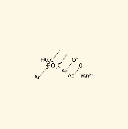 CC(=O)O.CC(=O)O.CC(=O)[O-].CC(=O)[O-].CC(=O)[O-].[Mn+3]